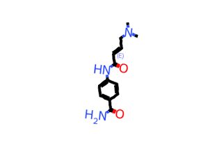 CN(C)C/C=C/C(=O)Nc1ccc(C(N)=O)cc1